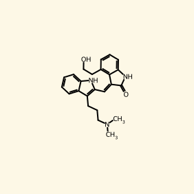 CN(C)CCCc1c(/C=C2/C(=O)Nc3cccc(CCO)c32)[nH]c2ccccc12